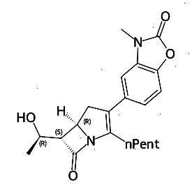 CCCCCC1=C(c2ccc3oc(=O)n(C)c3c2)C[C@@H]2[C@@H]([C@@H](C)O)C(=O)N12